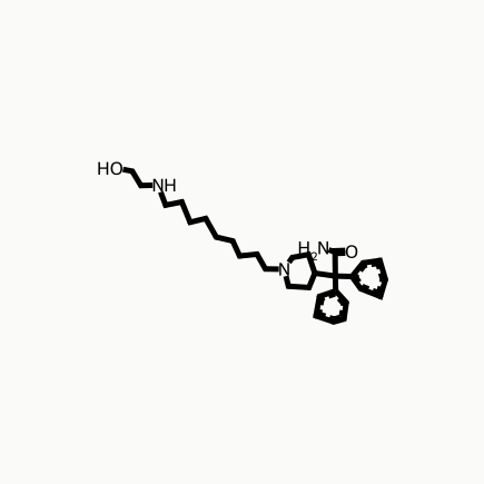 NC(=O)C(c1ccccc1)(c1ccccc1)C1CCN(CCCCCCCCCNCCO)CC1